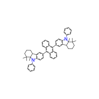 CC1(C)CCCC2c3cc(-c4c5ccccc5c(-c5ccc6c(c5)C5CCCC(C)(C)C5(C)N6c5ccccc5)c5ccccc45)ccc3N(c3ccccc3)C21C